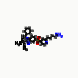 CC(C)(C)c1nc2cc(S(=O)(=O)c3ccnc(CCCCN)c3)ccc2n1CC1CCCCC1